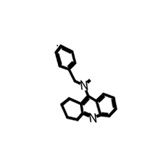 CN(Cc1cc[c]cc1)c1c2c(nc3ccccc13)CCCC2